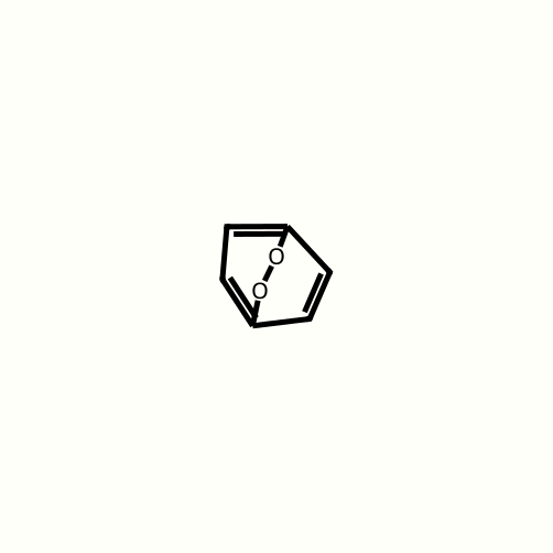 c1cc2ccc1OO2